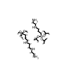 CC(C)O[Si](CCCNCCN)(OC(C)C)OC(C)C.CO[Si](CCCNCCNCCN)(OC)OC